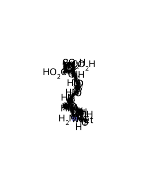 CCC(=O)NCCNC(=O)/N=C(/N)NCCC[C@@H](NC(=O)[C@H](c1ccccc1)c1ccc(NCCCNC(=O)c2ccc(C(=O)NCCCCNC(=O)CN3CCN(CC(=O)O)CCN(CC(=O)O)CCN(CC(=O)O)CC3)cc2)cc1)C(=O)NCc1ccc(O)cc1